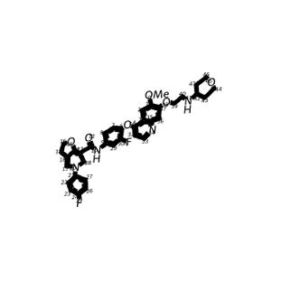 COc1cc2c(Oc3ccc(NC(=O)C4=C5OCCC5=CN(c5ccc(F)cc5)C4)cc3F)ccnc2cc1OCCNC1CCOCC1